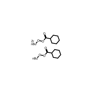 CCCCOOC(=O)C1CCCCC1.CCCCOOC(=O)C1CCCCC1.[Zr]